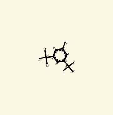 [CH2]c1cc(C(C)(C)C)cc(C(C)(C)C)c1